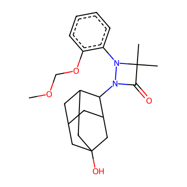 COCOc1ccccc1N1N(C2C3CC4CC2CC(O)(C4)C3)C(=O)C1(C)C